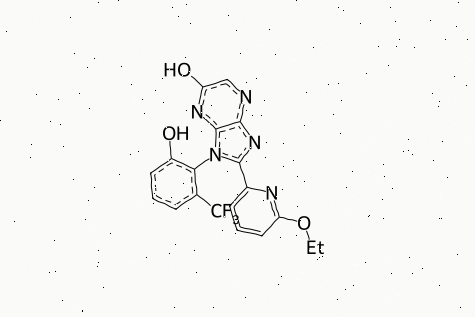 CCOC1=NC(c2nc3ncc(O)nc3n2-c2c(O)cccc2C(F)(F)F)=C=C=C1